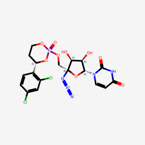 [N-]=[N+]=N[C@]1(COP2(=O)OCC[C@@H](c3ccc(Cl)cc3Cl)O2)O[C@@H](n2ccc(=O)[nH]c2=O)[C@H](O)[C@@H]1O